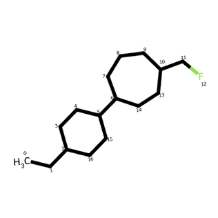 CCC1CCC(C2CCCC(CF)CC2)CC1